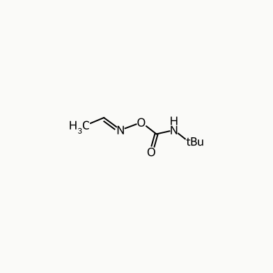 C/C=N/OC(=O)NC(C)(C)C